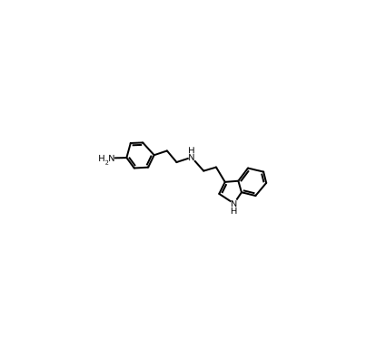 Nc1ccc(CCNCCc2c[nH]c3ccccc23)cc1